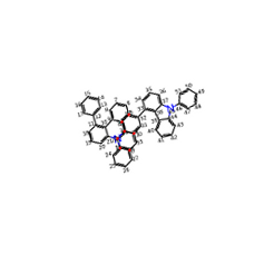 c1ccc(-c2ccccc2-c2c(-c3ccccc3)cccc2N(c2ccccc2)c2ccc(-c3cccc4c3c3ccccc3n4-c3ccccc3)cc2)cc1